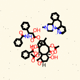 CC(=O)O[C@H]1C(=O)[C@@]2(C)[C@H]([C@H](OC(=O)c3ccccc3)[C@]3(O)C[C@H](OC(=O)[C@H](O)[C@@H](NC(=O)c4ccccc4)c4ccccc4)C(C)=C1C3(C)C)[C@]1(OC(C)=O)CO[C@@H]1C[C@@H]2O.CN1CCN2c3ncccc3Cc3ccccc3C2C1